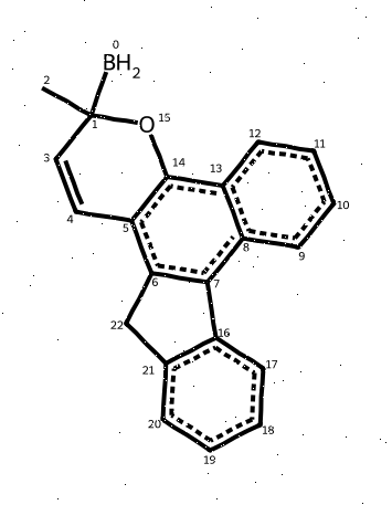 BC1(C)C=Cc2c3c(c4ccccc4c2O1)-c1ccccc1C3